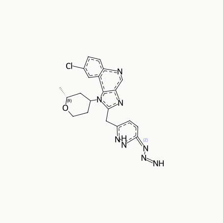 C[C@@H]1CC(n2c(Cc3cc/c(=N/N=N)[nH]n3)nc3cnc4ccc(Cl)cc4c32)CCO1